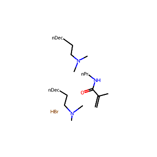 Br.C=C(C)C(=O)NCCC.CCCCCCCCCCCCN(C)C.CCCCCCCCCCCCN(C)C